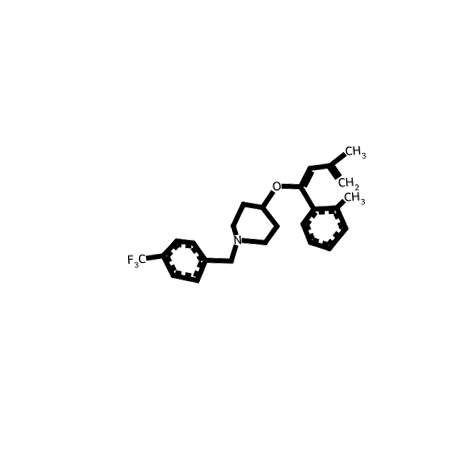 C=C(C)/C=C(/OC1CCN(Cc2ccc(C(F)(F)F)cc2)CC1)c1ccccc1C